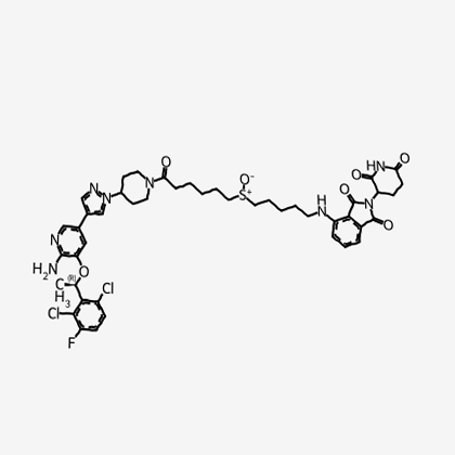 C[C@@H](Oc1cc(-c2cnn(C3CCN(C(=O)CCCCC[S+]([O-])CCCCCNc4cccc5c4C(=O)N(C4CCC(=O)NC4=O)C5=O)CC3)c2)cnc1N)c1c(Cl)ccc(F)c1Cl